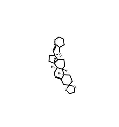 C[C@]12CC[C@H]3[C@@H](CC=C4CC5(CC[C@@H]43)OCCO5)[C@@H]1CC[C@]2(/C=C/I)OC1CCCCO1